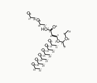 [CH2]C(OC=CC(=O)O)OCC.[CH2]C[O].[CH2]C[O].[CH2]C[O].[CH2]C[O].[CH2]C[O].[CH2]C[O].[CH2]C[O].[CH2]C[O]